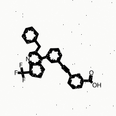 O=C(O)c1cccc(C#Cc2cccc(-c3c(Cc4ccccc4)cnc4c(C(F)(F)F)cccc34)c2)c1